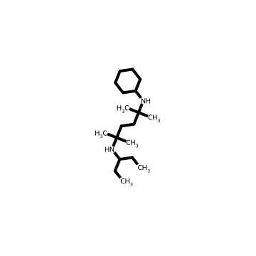 CCC(CC)NC(C)(C)CCC(C)(C)NC1CCCCC1